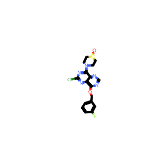 [O-][S+]1CCN(c2nc(Cl)nc3c(OCc4cccc(F)c4)ncnc23)CC1